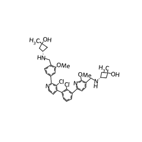 COc1cc(-c2nccc(-c3cccc(-c4ccc(CN[C@H]5C[C@@](C)(O)C5)c(OC)n4)c3Cl)c2Cl)ccc1CN[C@H]1C[C@@](C)(O)C1